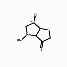 CC(C)(C)N1C[C@@H](Cl)C2OCC(=O)C21